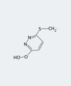 [CH2]Sc1ccc(OO)nn1